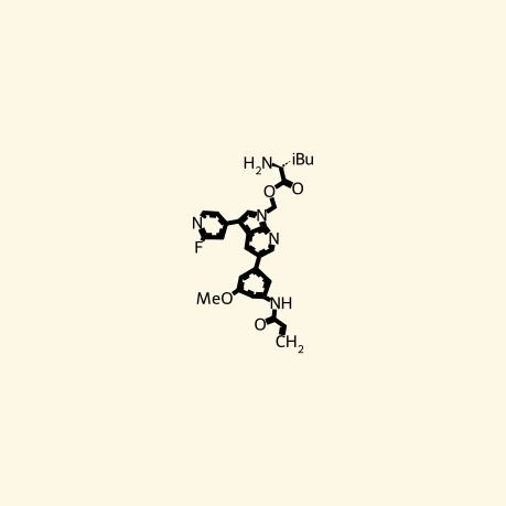 C=CC(=O)Nc1cc(OC)cc(-c2cnc3c(c2)c(-c2ccnc(F)c2)cn3COC(=O)[C@@H](N)[C@@H](C)CC)c1